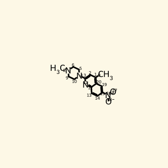 Cc1cc(N2CCN(C)CC2)nc2ccc([N+](=O)[O-])cc12